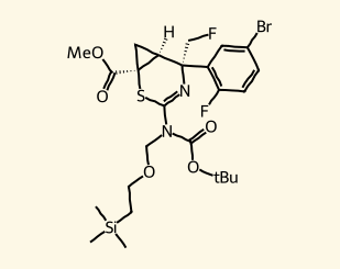 COC(=O)[C@]12C[C@H]1[C@@](CF)(c1cc(Br)ccc1F)N=C(N(COCC[Si](C)(C)C)C(=O)OC(C)(C)C)S2